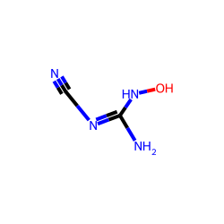 N#CN=C(N)NO